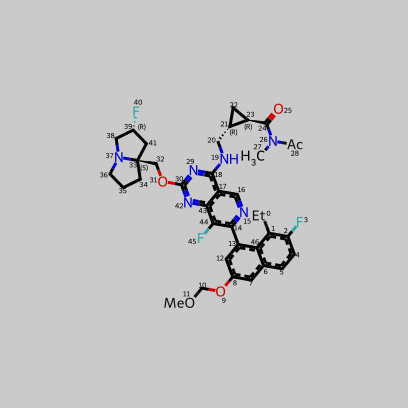 CCc1c(F)ccc2cc(OCOC)cc(-c3ncc4c(NC[C@@H]5C[C@H]5C(=O)N(C)C(C)=O)nc(OC[C@@]56CCCN5C[C@H](F)C6)nc4c3F)c12